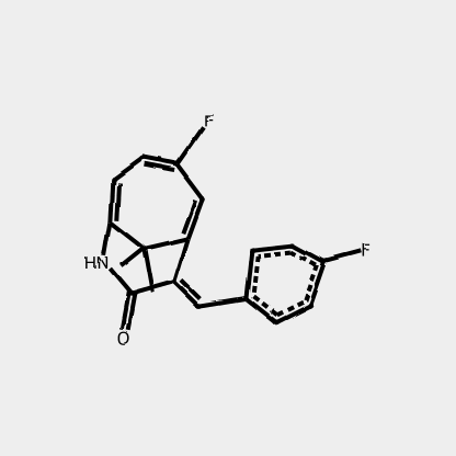 CC1(C)C2=CC=C(F)C=C1C(=Cc1ccc(F)cc1)C(=O)N2